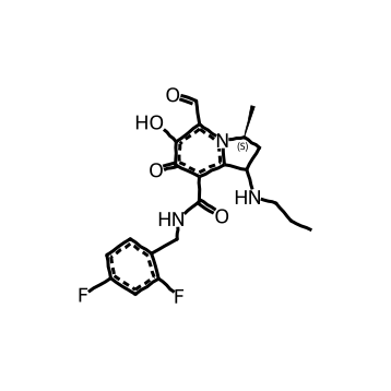 CCCNC1C[C@H](C)n2c(C=O)c(O)c(=O)c(C(=O)NCc3ccc(F)cc3F)c21